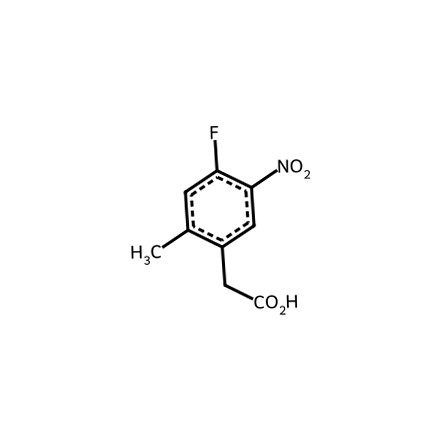 Cc1cc(F)c([N+](=O)[O-])cc1CC(=O)O